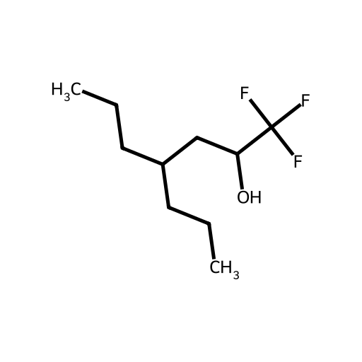 CCCC(CCC)CC(O)C(F)(F)F